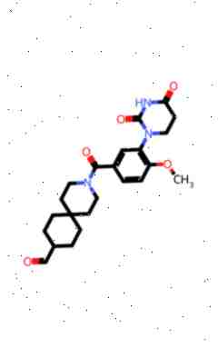 COc1ccc(C(=O)N2CCC3(CCC(C=O)CC3)CC2)cc1N1CCC(=O)NC1=O